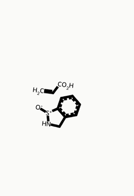 C=CC(=O)O.[O-][S+]1NCc2ccccc21